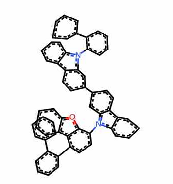 c1ccc(-c2ccccc2-c2ccc(-n3c4ccccc4c4ccc(-c5ccc6c7ccccc7n(-c7ccccc7-c7ccccc7)c6c5)cc43)c3oc4ccccc4c23)cc1